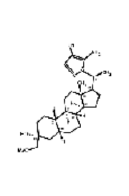 COC[C@@]1(O)CC[C@H]2[C@H](CC[C@@H]3[C@@H]2CC[C@]2(C)[C@@H]([C@H](C)n4ncc(C#N)c4N)CC[C@@H]32)C1